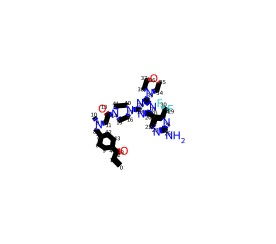 C=CC(=O)C1CCC(CN(C)CC(=O)N2CCN(c3nc(-c4cnc(N)nc4C(F)F)nc(N4CCOCC4)n3)CC2)CC1